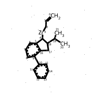 C=C[CH2][Zr][CH]1c2cccc(-c3ccccc3)c2CC1C(C)C